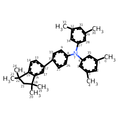 Cc1cc(C)cc(N(c2ccc(-c3ccc4c(c3)C(C)(C)CC4(C)C)cc2)c2cc(C)cc(C)c2)c1